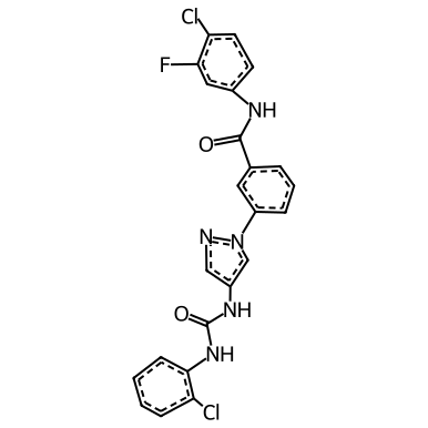 O=C(Nc1cnn(-c2cccc(C(=O)Nc3ccc(Cl)c(F)c3)c2)c1)Nc1ccccc1Cl